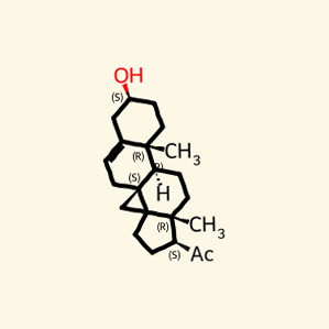 CC(=O)[C@H]1CCC23C[C@]24CC=C2C[C@@H](O)CC[C@]2(C)[C@H]4CC[C@]13C